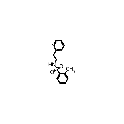 Cc1ccccc1S(=O)(=O)NCCc1ccccn1